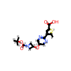 Cc1sc(C(=O)O)cc1-c1ncc(OC2CN(C(=O)OC(C)(C)C)C2)cn1